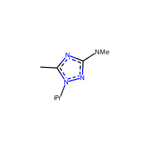 CNc1nc(C)n(C(C)C)n1